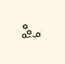 COc1cc([C@H](O)[C@H](CCCc2ccccc2)Oc2ccc(Oc3c(C(=O)O)ccc(C)c3C)cc2)cc(OC)c1C